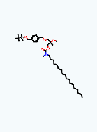 CCCCCCCCCCCCCCCCCCN(C)C(=O)OCC(C)(COCc1ccc(CO[Si](C)(C)C(C)(C)C)cc1)OC